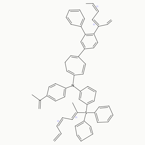 C=C/C=C\C=C(/C)S(c1ccccc1)(c1ccccc1)c1cccc(N(C2=CCC=C(c3ccc(/C(C=C)=C/C=C\C)c(-c4ccccc4)c3)C=C2)c2ccc(C(=C)C)cc2)c1